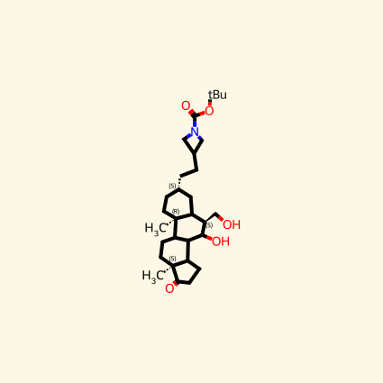 CC(C)(C)OC(=O)N1CC(CC[C@H]2CC[C@]3(C)C4CC[C@]5(C)C(=O)CCC5C4C(O)[C@H](CO)C3C2)C1